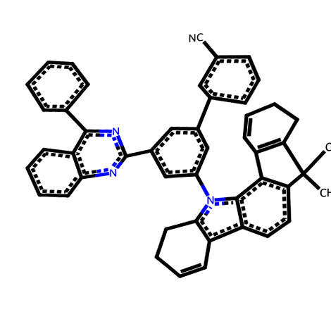 CC1(C)C2=C(C=CCC2)c2c1ccc1c3c(n(-c4cc(-c5cccc(C#N)c5)cc(-c5nc(-c6ccccc6)c6ccccc6n5)c4)c21)CCC=C3